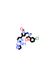 CN(Cc1cc(-c2ccnc(Nc3ccnn3C)n2)cn1C=O)C(CO)c1cccc(Cl)c1